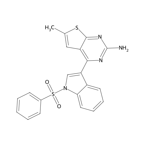 Cc1cc2c(-c3cn(S(=O)(=O)c4ccccc4)c4ccccc34)nc(N)nc2s1